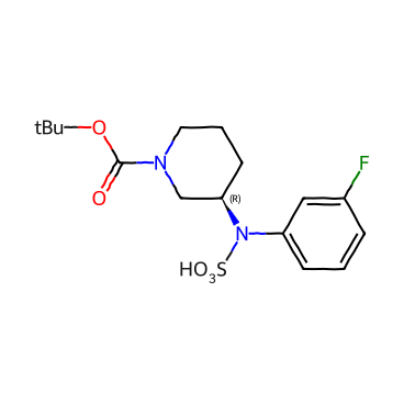 CC(C)(C)OC(=O)N1CCC[C@@H](N(c2cccc(F)c2)S(=O)(=O)O)C1